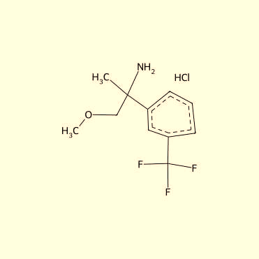 COCC(C)(N)c1cccc(C(F)(F)F)c1.Cl